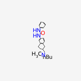 CCCCN(C)CC1CCc2cc(NC(=O)Nc3ccccc3)ccc2C1